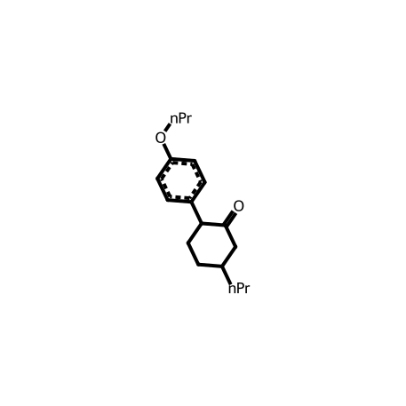 CCCOc1ccc(C2CCC(CCC)CC2=O)cc1